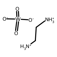 [NH3+]CC[NH3+].[O]=[W](=[O])([O-])[O-]